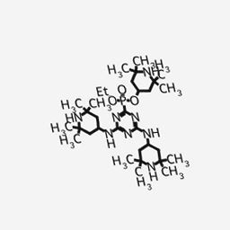 CCOP(=O)(OC1CC(C)(C)NC(C)(C)C1)c1nc(NC2CC(C)(C)NC(C)(C)C2)nc(NC2CC(C)(C)NC(C)(C)C2)n1